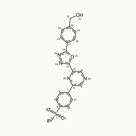 CC(C)S(=O)(=O)c1ccc(-c2cncc(-c3nnc(-c4ccc(CO)cc4)o3)n2)cc1